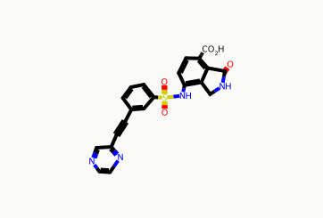 O=C(O)c1ccc(NS(=O)(=O)c2cccc(C#Cc3cnccn3)c2)c2c1C(=O)NC2